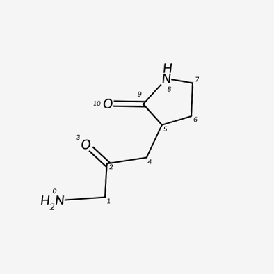 NCC(=O)CC1CCNC1=O